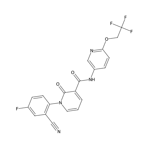 N#Cc1cc(F)ccc1-n1cccc(C(=O)Nc2ccc(OCC(F)(F)F)nc2)c1=O